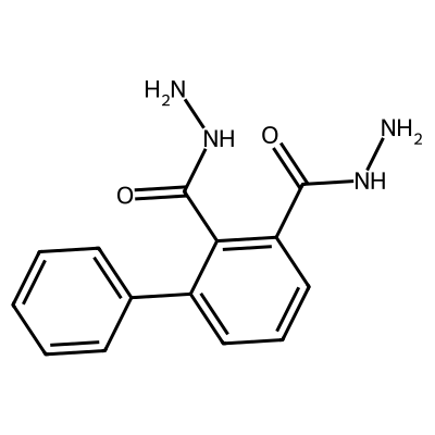 NNC(=O)c1cccc(-c2ccccc2)c1C(=O)NN